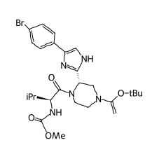 C=C(OC(C)(C)C)N1CCN(C(=O)[C@@H](NC(=O)OC)C(C)C)[C@H](c2nc(-c3ccc(Br)cc3)c[nH]2)C1